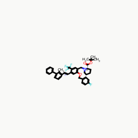 Cc1c(/C=C/c2cc(OCc3ccc(F)cc3)c(CN3CCCC[C@H]3C(=O)OC(C)(C)C)cc2C(F)(F)F)cccc1-c1ccccc1